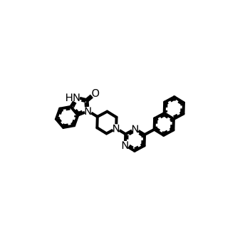 O=c1[nH]c2ccccc2n1C1CCN(c2nccc(-c3ccc4ccccc4c3)n2)CC1